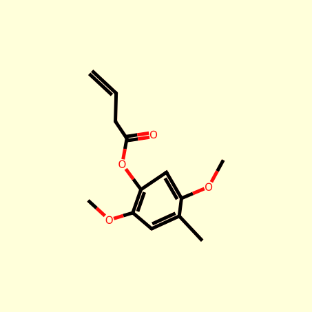 C=CCC(=O)Oc1cc(OC)c(C)cc1OC